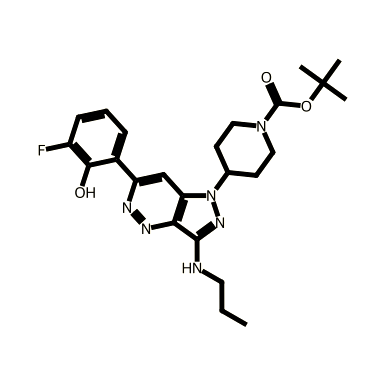 CCCNc1nn(C2CCN(C(=O)OC(C)(C)C)CC2)c2cc(-c3cccc(F)c3O)nnc12